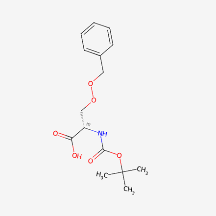 CC(C)(C)OC(=O)N[C@@H](COOCc1ccccc1)C(=O)O